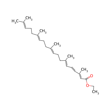 CCOC(=O)/C=C(C)/C=C/C=C(\C)CC/C=C(\C)CC/C=C(\C)CCC=C(C)C